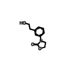 O=C1OCCN1c1cccc(CCO)c1